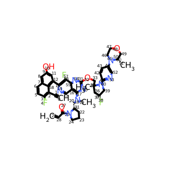 C#Cc1c(F)ccc2cc(O)cc(-c3ncc4c(N(C)C[C@@H]5CCCN5C(=O)C=C)nc(OC[C@]5(C)C[C@@H](F)CN5c5ccc(N6CCOC[C@@H]6C)cn5)nc4c3F)c12